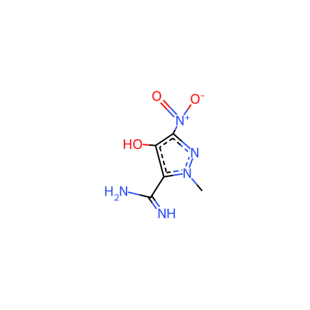 Cn1nc([N+](=O)[O-])c(O)c1C(=N)N